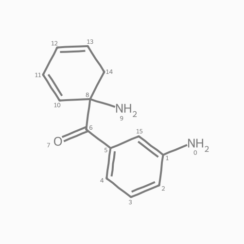 Nc1cccc(C(=O)C2(N)C=CC=CC2)c1